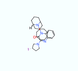 O=c1c(N2CC[C@H](I)C2)nc2ccccc2n1C1CC2CCC[C@@H](C1)N2C1CCCCCCC1